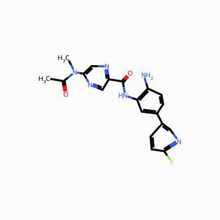 CC(=O)N(C)c1cnc(C(=O)Nc2cc(-c3ccc(F)nc3)ccc2N)cn1